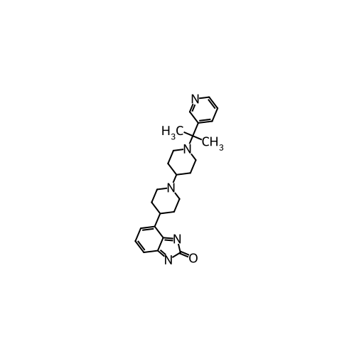 CC(C)(c1cccnc1)N1CCC(N2CCC(c3cccc4c3=NC(=O)N=4)CC2)CC1